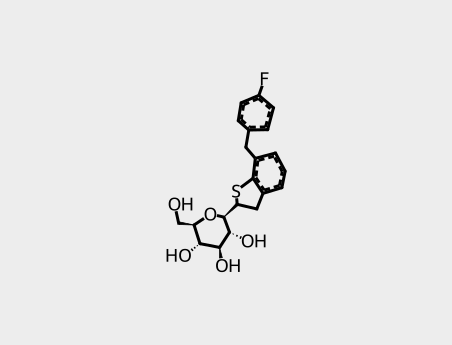 OC[C@H]1O[C@@H](C2Cc3cccc(Cc4ccc(F)cc4)c3S2)[C@H](O)[C@@H](O)[C@@H]1O